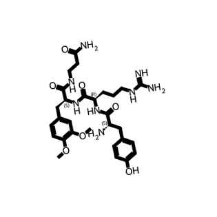 COc1ccc(C[C@H](NC(=O)[C@@H](CCCNC(=N)N)NC(=O)[C@@H](N)Cc2ccc(O)cc2)C(=O)NCCC(N)=O)cc1OC